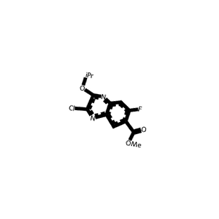 COC(=O)c1cc2nc(Cl)c(OC(C)C)nc2cc1F